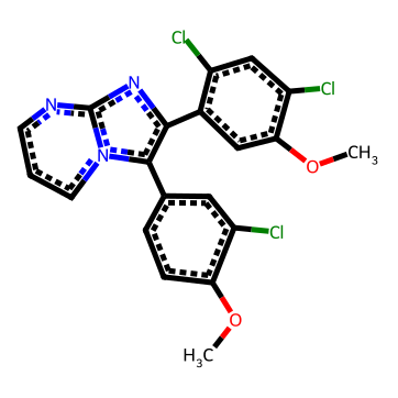 COc1ccc(-c2c(-c3cc(OC)c(Cl)cc3Cl)nc3ncccn23)cc1Cl